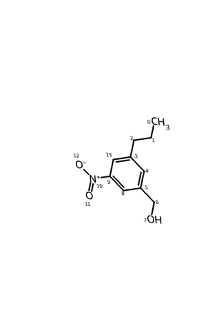 CCCc1cc(CO)cc([N+](=O)[O-])c1